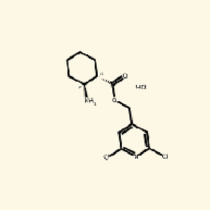 Cl.N[C@H]1CCCC[C@@H]1C(=O)OCc1cc(Cl)nc(Cl)c1